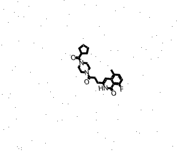 Cc1ccc(F)c2c(=O)[nH]c(CCC(=O)N3CCN(C(=O)C4CCCC4)CC3)cc12